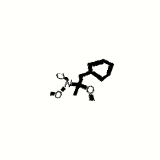 CON(Cl)C(C)(Cc1ccccc1)OC